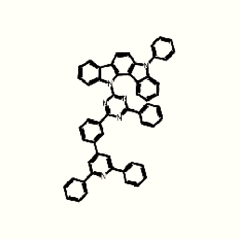 c1ccc(-c2cc(-c3cccc(-c4nc(-c5ccccc5)nc(-n5c6ccccc6c6ccc7c(c8ccccc8n7-c7ccccc7)c65)n4)c3)cc(-c3ccccc3)n2)cc1